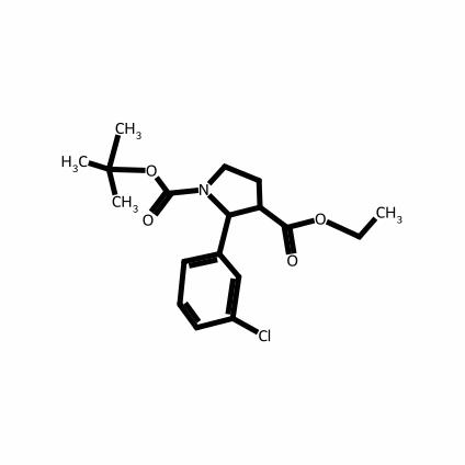 CCOC(=O)C1CCN(C(=O)OC(C)(C)C)C1c1cccc(Cl)c1